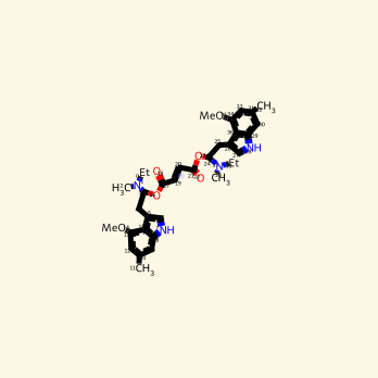 CCN(C)C(Cc1c[nH]c2cc(C)cc(OC)c12)OC(=O)/C=C/C(=O)OC(Cc1c[nH]c2cc(C)cc(OC)c12)N(C)CC